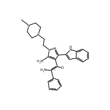 CN1CCN(CCn2nc(-c3cc4ccccc4[nH]3)c(/C(Cl)=C(\N)c3ccccc3)c2N)CC1